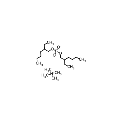 CCCCC(CC)COP(=O)([O-])OCC(CC)CCCC.C[N+](C)(C)C